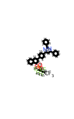 O=S(=O)(Oc1cc(-c2ccc(-c3cc(-c4ccccc4)nc(-c4ccccc4)n3)cc2)cc2ccccc12)C(F)(F)C(F)(F)C(F)(F)C(F)(F)F